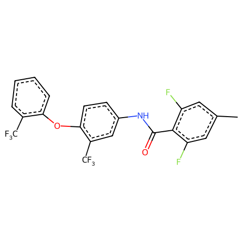 Cc1cc(F)c(C(=O)Nc2ccc(Oc3ccccc3C(F)(F)F)c(C(F)(F)F)c2)c(F)c1